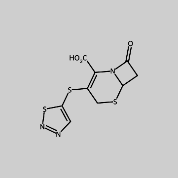 O=C(O)C1=C(Sc2cnns2)CSC2CC(=O)N12